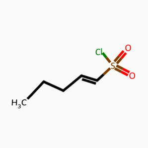 CCC/C=C/S(=O)(=O)Cl